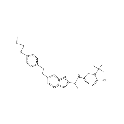 CCCOc1ccc(CCc2ccc3cc(C(C)NC(=O)CN(C(=O)O)C(C)(C)C)oc3c2)cc1